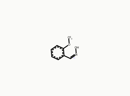 O/N=C\c1ccccc1OC(F)(F)F